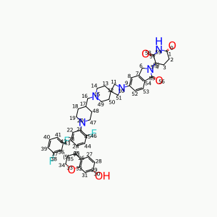 O=C1CC[C@@H](N2Cc3cc(N4CC5(CCN(CC6CCN(c7ccc([C@@H]8c9ccc(O)cc9OC[C@@H]8c8c(F)cccc8F)cc7F)CC6)CC5)C4)ccc3C2=O)C(=O)N1